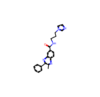 Cc1nc2ccc(C(=O)NCCCn3ccnc3)cc2nc1-c1ccccc1